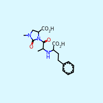 CC(NC(CCc1ccccc1)C(=O)O)C(=O)N1C(=O)N(C)CC1C(=O)O